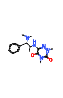 CC(Nc1nn(C)c(=O)n(C)c1=O)C(c1ccccc1)N(C)C